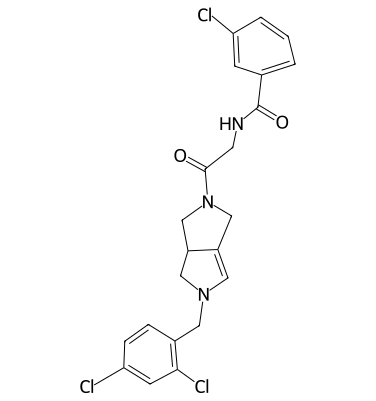 O=C(NCC(=O)N1CC2=CN(Cc3ccc(Cl)cc3Cl)CC2C1)c1cccc(Cl)c1